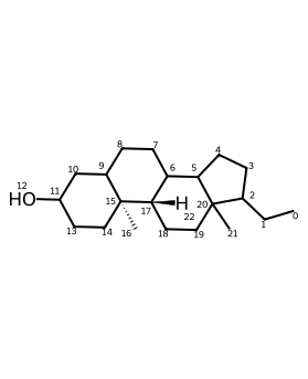 CCC1CCC2C3CCC4CC(O)CC[C@]4(C)[C@H]3CCC12C